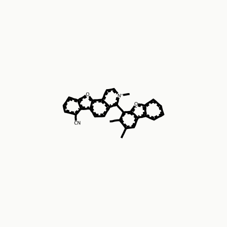 Cc1cc2c(oc3ccccc32)c(-c2c3ccc4c(oc5cccc(C#N)c54)c3cc[n+]2C)c1C